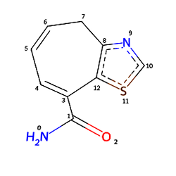 NC(=O)C1=CC=CCc2ncsc21